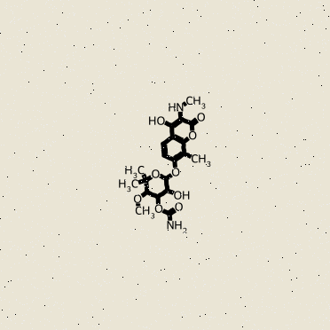 CNc1c(O)c2ccc(OC3OC(C)(C)C(OC)C(OC(N)=O)C3O)c(C)c2oc1=O